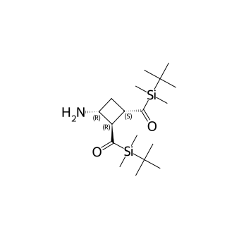 CC(C)(C)[Si](C)(C)C(=O)[C@H]1[C@H](N)C[C@@H]1C(=O)[Si](C)(C)C(C)(C)C